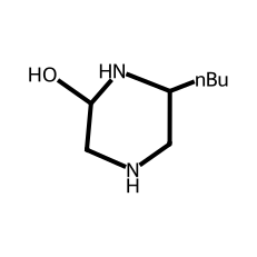 CCCCC1CNCC(O)N1